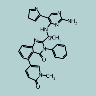 C[C@H](Nc1nc(N)ncc1C1=CCC=N1)c1nc2cccc(-c3ccc(=O)n(C)c3)c2c(=O)n1-c1ccccc1